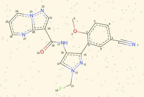 COc1ccc(C#N)cc1-c1nn(CF)cc1NC(=O)c1cnn2cccnc12